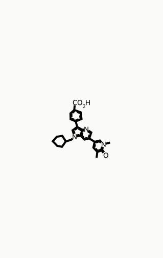 Cc1cc(-c2cnc3c(-c4ccc(C(=O)O)cc4)cn(CC4CCCCC4)c3c2)cn(C)c1=O